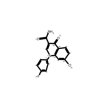 NC(=O)c1cn(-c2ccc(F)cc2)c2cc(Cl)ccc2c1=O